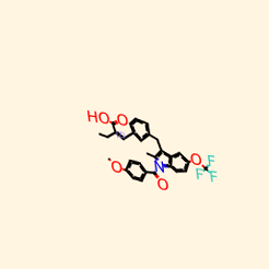 CC/C(=C/c1cccc(Cc2c(C)n(C(=O)c3ccc(OC)cc3)c3ccc(OC(F)(F)F)cc23)c1)C(=O)O